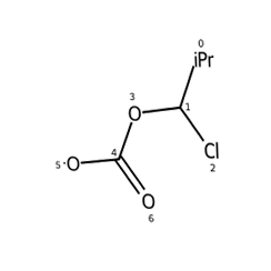 CC(C)C(Cl)OC([O])=O